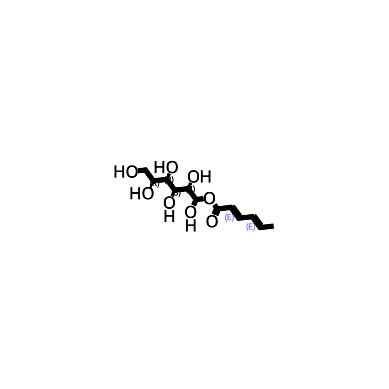 C/C=C/C=C/C(=O)OC(O)[C@H](O)[C@@H](O)[C@H](O)[C@H](O)CO